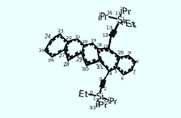 CC[Si](C#Cc1c2ccccc2c(C#C[Si](CC)(C(C)C)C(C)C)c2cc3cc4ccccc4cc3cc12)(C(C)C)C(C)C